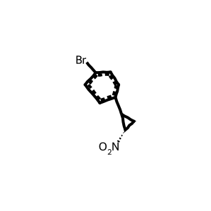 O=[N+]([O-])[C@H]1CC1c1ccc(Br)cc1